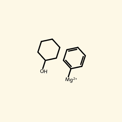 OC1CCCCC1.[Mg+2][c]1ccccc1